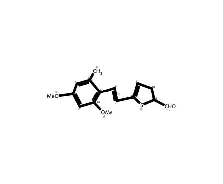 COc1cc(C)c(/C=C/C2=CCC(C=O)S2)c(OC)c1